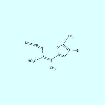 C/C(=C(/N=[N+]=[N-])C(=O)O)c1cc(Br)c(C)s1